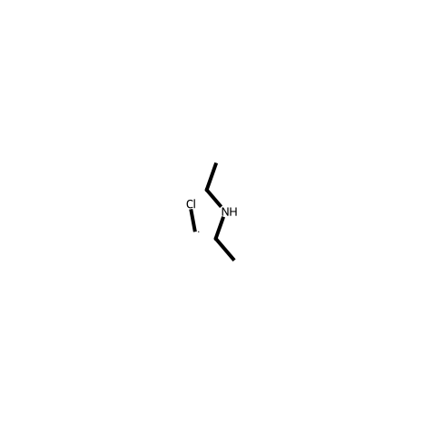 CCNCC.[CH2]Cl